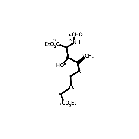 C=C(CCOCC(=O)OCC)C(O)C(NC=O)C(=O)OCC